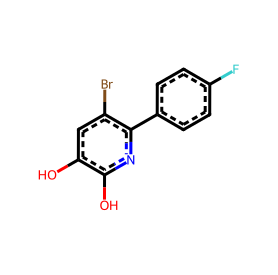 Oc1cc(Br)c(-c2ccc(F)cc2)nc1O